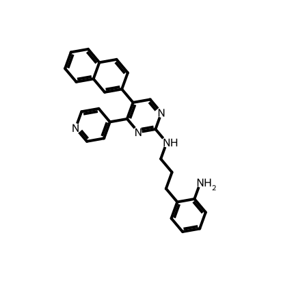 Nc1ccccc1CCCNc1ncc(-c2ccc3ccccc3c2)c(-c2ccncc2)n1